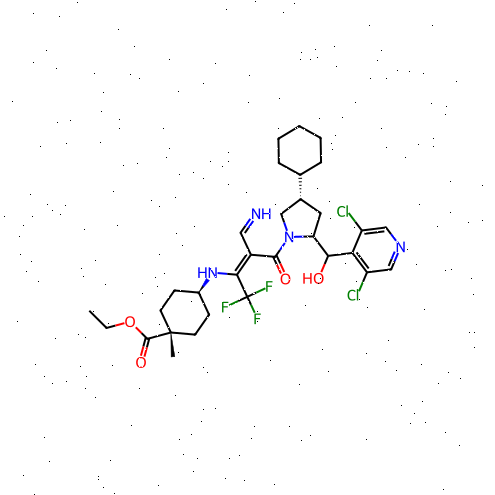 CCOC(=O)[C@]1(C)CC[C@@H](N/C(=C(\C=N)C(=O)N2C[C@H](C3CCCCC3)CC2C(O)c2c(Cl)cncc2Cl)C(F)(F)F)CC1